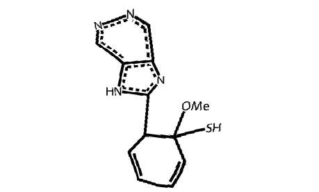 COC1(S)C=CC=CC1c1nc2cnncc2[nH]1